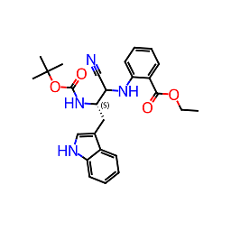 CCOC(=O)c1ccccc1NC(C#N)[C@H](Cc1c[nH]c2ccccc12)NC(=O)OC(C)(C)C